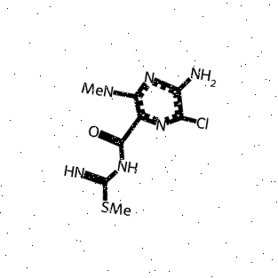 CNc1nc(N)c(Cl)nc1C(=O)NC(=N)SC